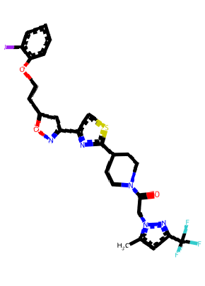 Cc1cc(C(F)(F)F)nn1CC(=O)N1CCC(c2nc(C3=NOC(CCOc4ccccc4I)C3)cs2)CC1